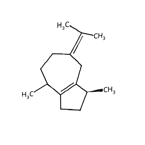 CC(C)=C1CCC(C)C2=C(C1)[C@@H](C)CC2